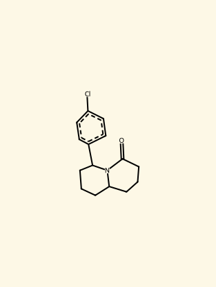 O=C1CCCC2CCCC(c3ccc(Cl)cc3)N12